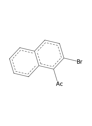 CC(=O)c1c(Br)ccc2ccccc12